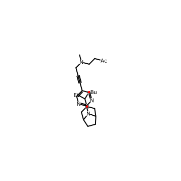 CCCCC(CC)N1CC2CCC(C1)N2c1ncc(C#CCN(C)CCC(C)=O)cn1